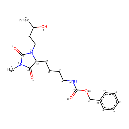 CCCCCCC(O)CCN1C(=O)N(C)C(=O)C1CCCCNC(=O)OCc1ccccc1